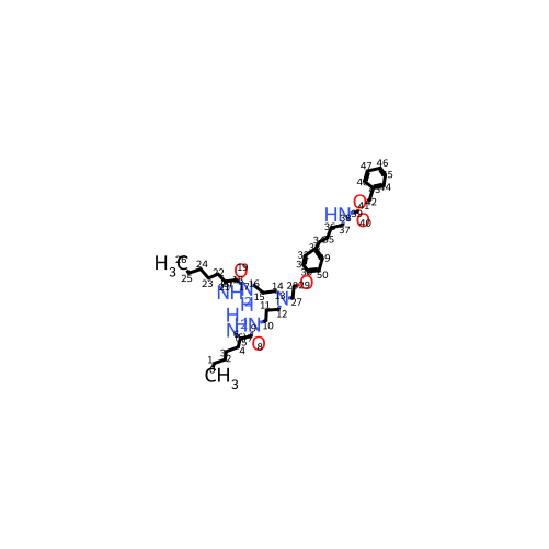 CCCCC[C@H](N)C(=O)NCCCN(CCCNC(=O)[C@@H](N)CCCCC)CCOc1ccc(CCCCNC(=O)OCc2ccccc2)cc1